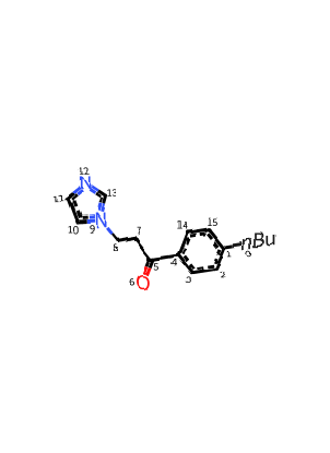 CCCCc1ccc(C(=O)CCn2ccnc2)cc1